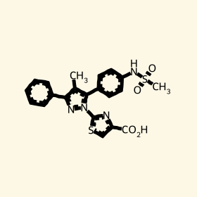 Cc1c(-c2ccccc2)nn(-c2nc(C(=O)O)cs2)c1-c1ccc(NS(C)(=O)=O)cc1